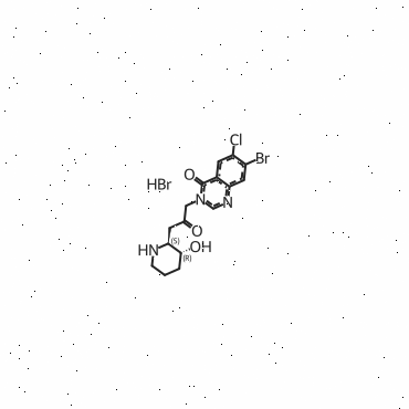 Br.O=C(C[C@@H]1NCCC[C@H]1O)Cn1cnc2cc(Br)c(Cl)cc2c1=O